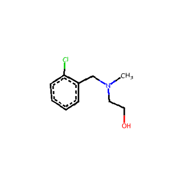 CN(CCO)Cc1ccccc1Cl